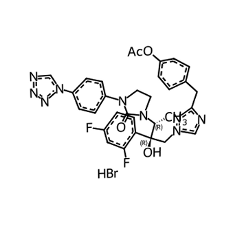 Br.CC(=O)Oc1ccc(Cc2ncn(C[C@](O)(c3ccc(F)cc3F)[C@@H](C)N3CCN(c4ccc(-n5cnnn5)cc4)C3=O)n2)cc1